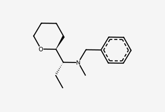 CC[C@H]([C@@H]1CCCCO1)N(C)Cc1ccccc1